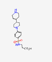 O=C(O)CCNS(=O)(=O)c1ccc(N2CCC(C3CCNCC3)CC2)cc1